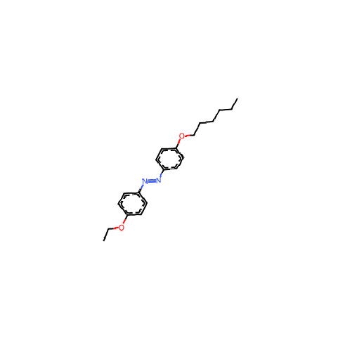 CCCCCCOc1ccc(N=Nc2ccc(OCC)cc2)cc1